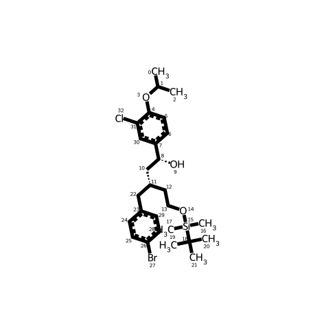 CC(C)Oc1ccc([C@H](O)C[C@H](CCO[Si](C)(C)C(C)(C)C)Cc2ccc(Br)cc2)cc1Cl